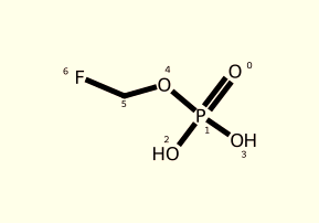 O=P(O)(O)OCF